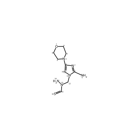 Nc1nc(N2CCOCC2)nn1CN(N)C=S